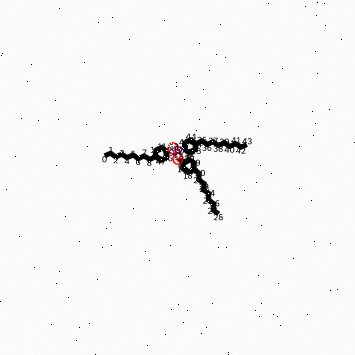 CCCCCCCCCc1ccc(OP(Oc2ccc(CCCCCCCCC)cc2)c2ccc(CCCCCCCCC)cc2)cc1